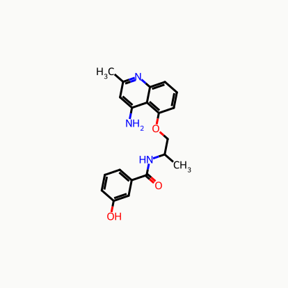 Cc1cc(N)c2c(OCC(C)NC(=O)c3cccc(O)c3)cccc2n1